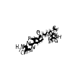 Nc1nc(-c2cc3ccn(CCC[C@H](COC(F)F)Nc4cn[nH]c(=O)c4C(F)(F)F)c(=O)c3cc2F)ncc1Cl